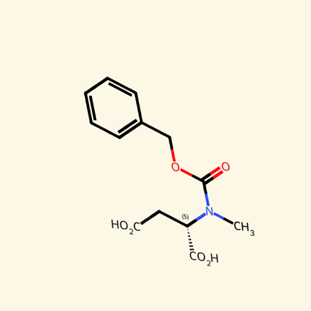 CN(C(=O)OCc1ccccc1)[C@@H](CC(=O)O)C(=O)O